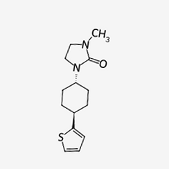 CN1CCN([C@H]2CC[C@H](c3cccs3)CC2)C1=O